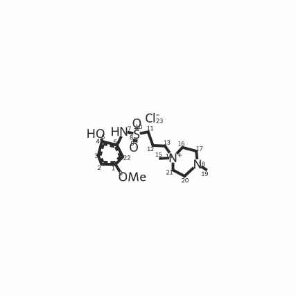 COc1ccc(O)c(NS(=O)(=O)CCC[N+]2(C)CCN(C)CC2)c1.[Cl-]